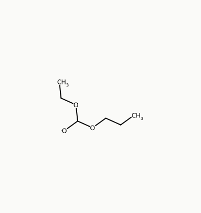 CCCOC([O])OCC